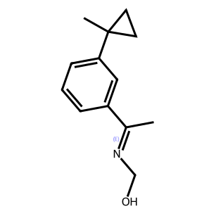 C/C(=N\CO)c1cccc(C2(C)CC2)c1